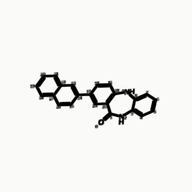 O=C1Nc2ccccc2Nc2ccc(-c3ccc4ccccc4c3)cc21